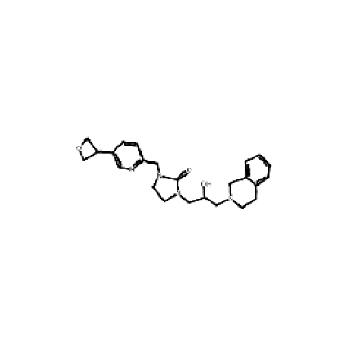 O=C1N(Cc2ccc(C3COC3)cn2)CCN1CC(O)CN1CCc2ccccc2C1